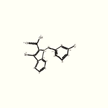 O=C(O)c1c(Br)c2ccccc2n1Cc1cccc(Cl)c1